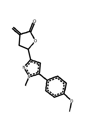 C=C1CC(c2cc(-c3ccc(OC)cc3)n(C)n2)OC1=O